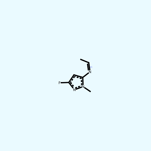 C/C=N\c1cc(F)nn1C